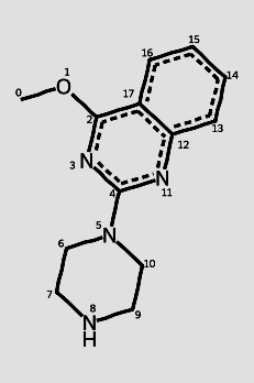 COc1nc(N2CCNCC2)nc2ccccc12